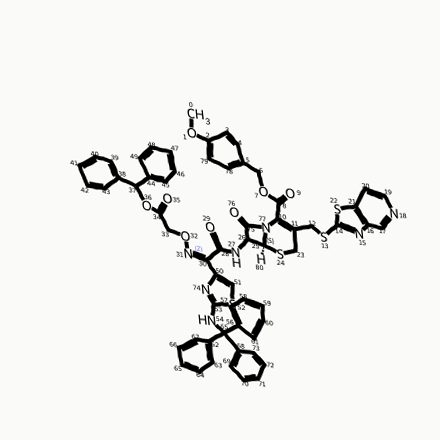 COc1ccc(COC(=O)C2=C(CSc3nc4cnccc4s3)CS[C@H]3C(NC(=O)/C(=N\OCC(=O)OC(c4ccccc4)c4ccccc4)c4csc(NC(c5ccccc5)(c5ccccc5)c5ccccc5)n4)C(=O)N23)cc1